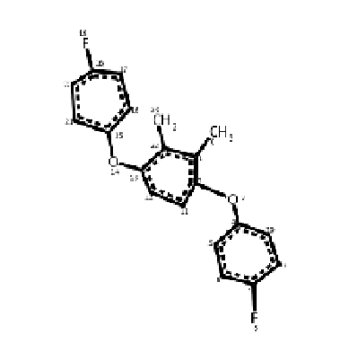 Cc1c(Oc2ccc(F)cc2)ccc(Oc2ccc(F)cc2)c1C